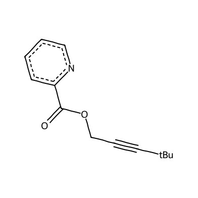 CC(C)(C)C#CCOC(=O)c1ccccn1